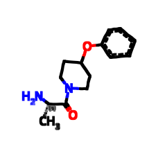 C[C@H](N)C(=O)N1CCC(Oc2ccccc2)CC1